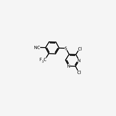 N#Cc1ccc(Sc2cnc(Cl)nc2Cl)cc1C(F)(F)F